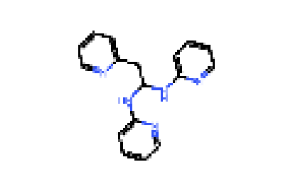 c1ccc(CC(Nc2ccccn2)Nc2ccccn2)nc1